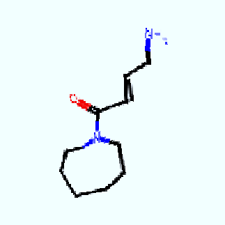 NC/C=C/C(=O)N1CCCCCC1